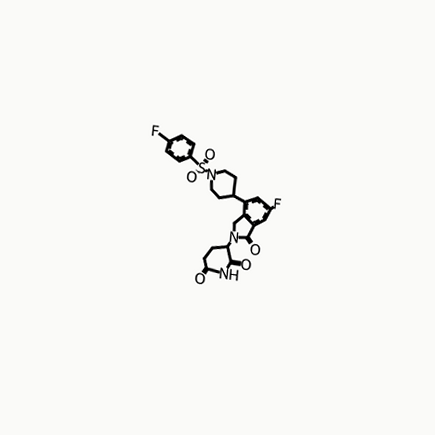 O=C1CCC(N2Cc3c(cc(F)cc3C3CCN(S(=O)(=O)c4ccc(F)cc4)CC3)C2=O)C(=O)N1